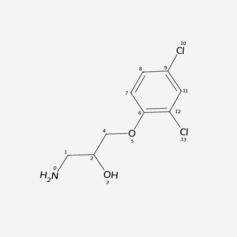 NCC(O)COc1ccc(Cl)cc1Cl